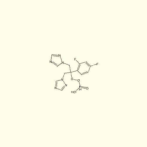 O=[PH](O)OOC(Cn1cncn1)(Cn1cncn1)c1ccc(F)cc1F